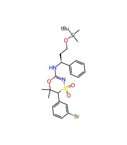 CC1(C)OC(N[C@@H](CCO[Si](C)(C)C(C)(C)C)c2ccccc2)=NS(=O)(=O)C1c1cccc(Br)c1